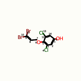 Oc1cc(Cl)c(OCC=C(Br)Br)c(Cl)c1